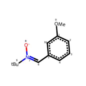 COc1cccc(C=[N+]([O-])C(C)(C)C)c1